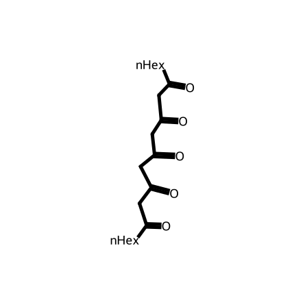 CCCCCCC(=O)CC(=O)CC(=O)CC(=O)CC(=O)CCCCCC